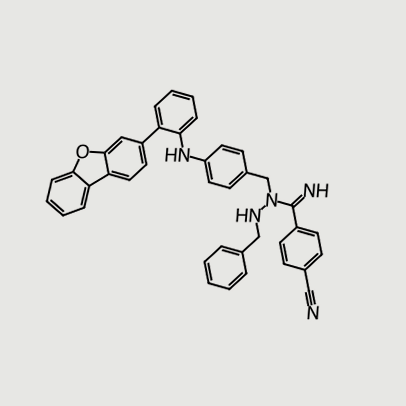 N#Cc1ccc(C(=N)N(Cc2ccc(Nc3ccccc3-c3ccc4c(c3)oc3ccccc34)cc2)NCc2ccccc2)cc1